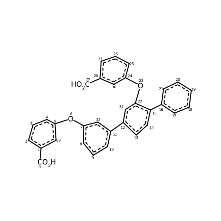 O=C(O)c1cccc(Oc2cccc(-c3ccc(-c4ccccc4)c(Oc4cccc(C(=O)O)c4)c3)c2)c1